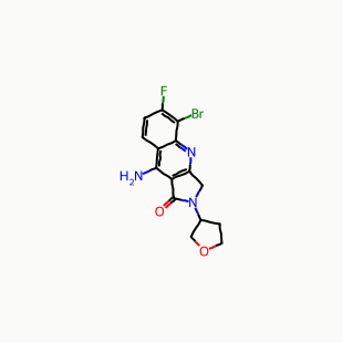 Nc1c2c(nc3c(Br)c(F)ccc13)CN(C1CCOC1)C2=O